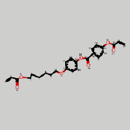 C=CC(=O)OCCCCCCOc1ccc(OC(=O)c2ccc(OC(=O)C=C)cc2)cc1